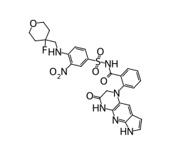 O=C1CN(c2ccccc2C(=O)NS(=O)(=O)c2ccc(NCC3(F)CCOCC3)c([N+](=O)[O-])c2)c2cc3cc[nH]c3nc2N1